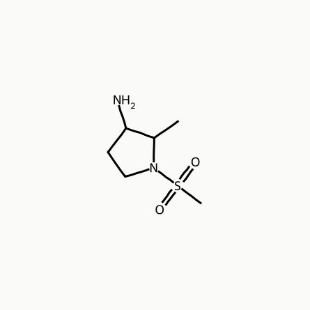 CC1C(N)CCN1S(C)(=O)=O